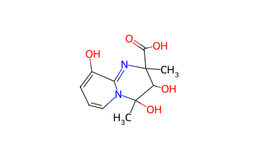 CC1(C(=O)O)N=C2C(O)=CC=CN2C(C)(O)C1O